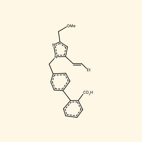 CCC=Cc1cc(COC)nn1Cc1ccc(-c2ccccc2C(=O)O)cc1